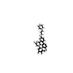 CC1=C2C=Nc3ccc(-c4ccc(OCCCN5CCOCC5)nc4)cc3N2C(N2C[C@@H](C)O[C@@H](C)C2)=CC1C